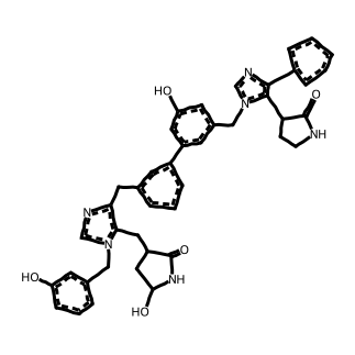 O=C1NC(O)CC1Cc1c(Cc2cccc(-c3cc(O)cc(Cn4cnc(-c5ccccc5)c4C4CCNC4=O)c3)c2)ncn1Cc1cccc(O)c1